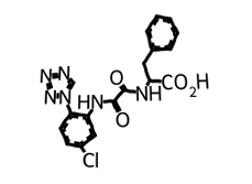 O=C(Nc1cc(Cl)ccc1-n1cnnn1)C(=O)NC(Cc1ccccc1)C(=O)O